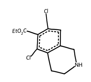 CCOC(=O)c1c(Cl)cc2c(c1Cl)CCNC2